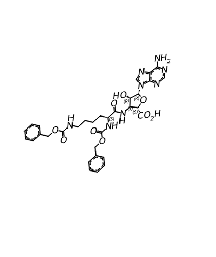 Nc1ncnc2c1ncn2[C@@H]1O[C@H](C(=O)O)[C@@H](NC(=O)[C@H](CCCCNC(=O)OCc2ccccc2)NC(=O)OCc2ccccc2)[C@H]1O